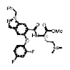 COC(=O)[C@H](CC[As](C)C)NC(=O)c1cc2c(cnn2CC(C)C)cc1Oc1ccc(F)cc1F